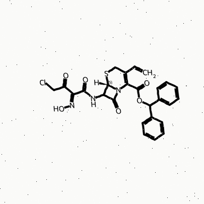 C=CC1=C(C(=O)OC(c2ccccc2)c2ccccc2)N2C(=O)C(NC(=O)C(=NO)C(=O)CCl)[C@@H]2SC1